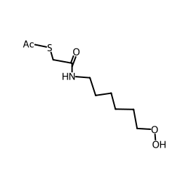 CC(=O)SCC(=O)NCCCCCCOO